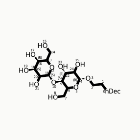 CCCCCCCCCCCCO[C@@H]1OC(CO)[C@@H](O[C@@H]2OC(CO)[C@H](O)[C@H](O)C2O)[C@H](O)C1O